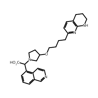 O=C(O)C(c1cccc2cnccc12)N1CCC(OCCCCc2ccc3c(n2)NCCC3)C1